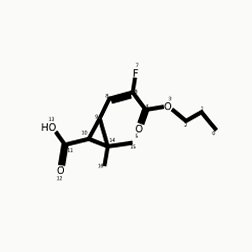 CCCOC(=O)/C(F)=C\C1C(C(=O)O)C1(C)C